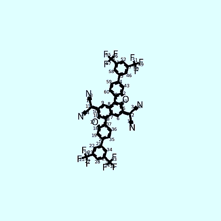 N#CC(C#N)=c1cc2c(cc(=C(C#N)C#N)c3oc4cc(-c5cc(C(F)(F)F)cc(C(F)(F)F)c5)ccc4c32)c2c1oc1cc(-c3cc(C(F)(F)F)cc(C(F)(F)F)c3)ccc12